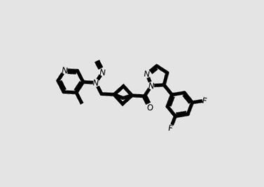 C=NN(CC12CC(C(=O)N3N=CCC3c3cc(F)cc(F)c3)(C1)C2)c1cnccc1C